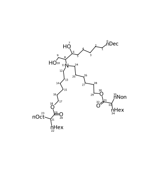 CCCCCCCCCCCCCCCC(O)C(CO)N(CCCCCCOC(=O)C(CCCCCC)CCCCCCCC)CCCCCCOC(=O)C(CCCCCC)CCCCCCCCC